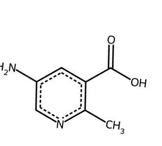 Cc1ncc(N)cc1C(=O)O